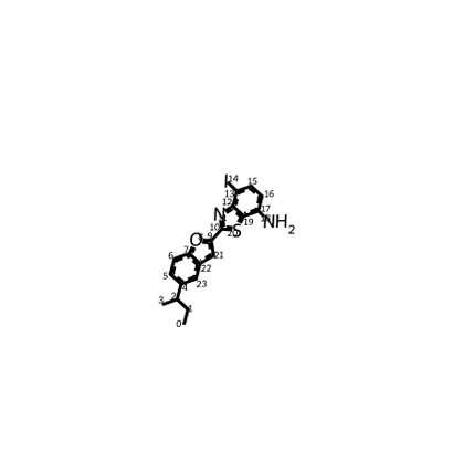 CCC(C)c1ccc2oc(-c3nc4c(I)ccc(N)c4s3)cc2c1